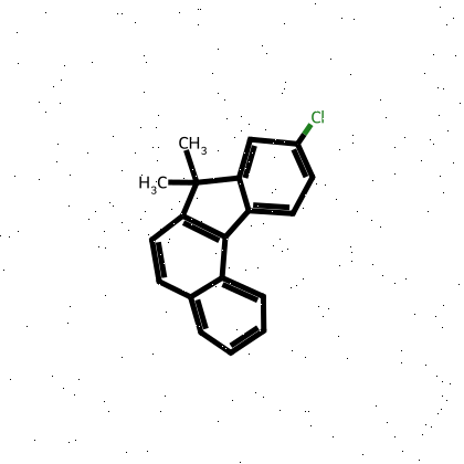 CC1(C)c2cc(Cl)ccc2-c2c1ccc1ccccc21